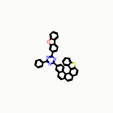 c1ccc(-c2nc(-c3ccc4c(ccc5ccc6ccc7sc8ccccc8c7c6c54)c3)nc(-c3ccc4c(c3)oc3ccccc34)n2)cc1